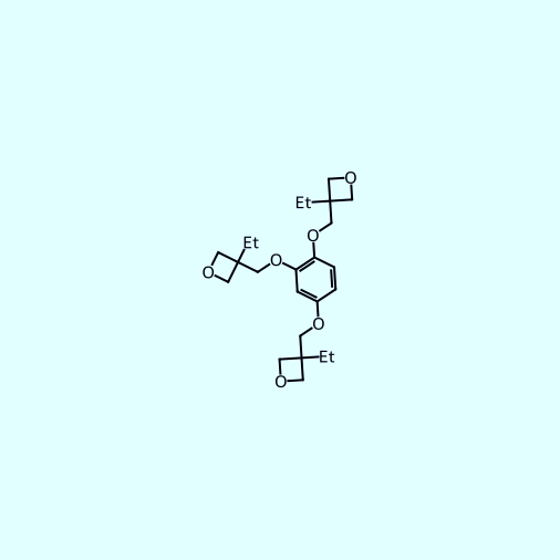 CCC1(COc2ccc(OCC3(CC)COC3)c(OCC3(CC)COC3)c2)COC1